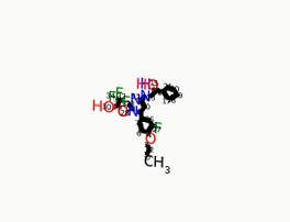 CCCCOc1ccc(-c2cc(NC[C@H](O)c3ccccc3)ncn2)cc1F.O=C(O)C(F)(F)F